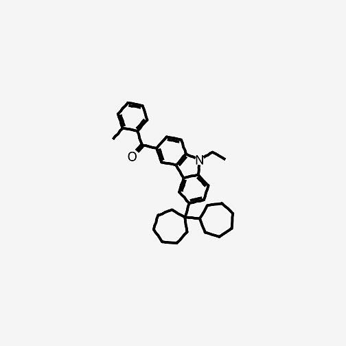 CCn1c2ccc(C(=O)c3ccccc3C)cc2c2cc(C3(C4CCCCCC4)CCCCCC3)ccc21